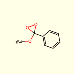 CC(C)(C)OC1(c2ccccc2)OO1